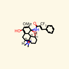 COC1=CC(O)=C2C[C@@H]3[C@@H]4CCC[C@@H]5OC1(NC(=O)C(=Cc1ccccc1)C(F)(F)F)C2[C@@]54CC[N+]3(C)C